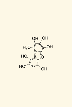 Cc1c(O)c(O)c(O)c2oc3c(O)cc(O)c(O)c3c12